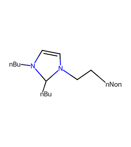 CCCCCCCCCCCN1C=CN(CCCC)C1CCCC